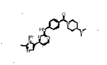 Cc1ncc(-c2ccnc(Nc3ccc(C(=O)N4CCC(N(C)C)CC4)cc3)n2)n1C(C)C